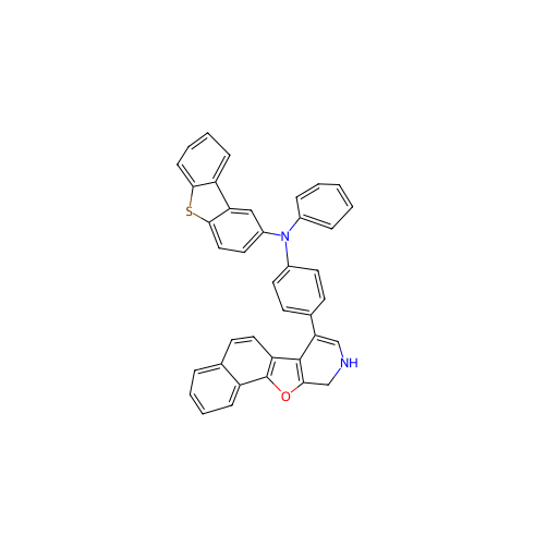 C1=C(c2ccc(N(c3ccccc3)c3ccc4sc5ccccc5c4c3)cc2)c2c(oc3c2ccc2ccccc23)CN1